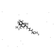 C=C1C=C(CCCCCCC)Nc2ccncc21